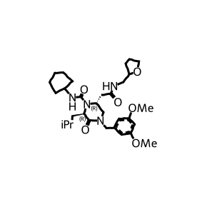 COc1cc(CN2C[C@@H](CC(=O)NCC3CCCO3)N(C(=O)NC3CCCCC3)[C@H](CC(C)C)C2=O)cc(OC)c1